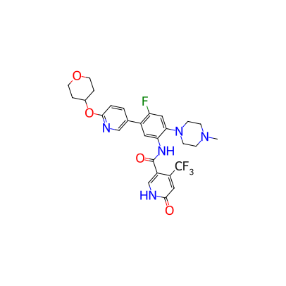 CN1CCN(c2cc(F)c(-c3ccc(OC4CCOCC4)nc3)cc2NC(=O)c2c[nH]c(=O)cc2C(F)(F)F)CC1